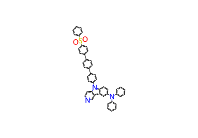 O=S(=O)(c1ccccc1)c1ccc(-c2ccc(-c3ccc(-n4c5ccncc5c5cc(N(c6ccccc6)c6ccccc6)ccc54)cc3)cc2)cc1